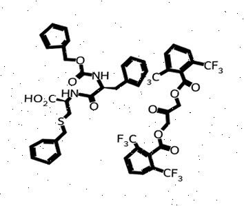 O=C(COC(=O)c1c(C(F)(F)F)cccc1C(F)(F)F)COC(=O)c1c(C(F)(F)F)cccc1C(F)(F)F.O=C(N[C@@H](Cc1ccccc1)C(=O)N[C@@H](CSCc1ccccc1)C(=O)O)OCc1ccccc1